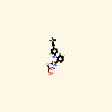 C[Si](C)(C)C#Cc1ccc(Nc2c(-c3nnc(NC[C@@H](O)CO)o3)ccc(F)c2F)c(F)c1